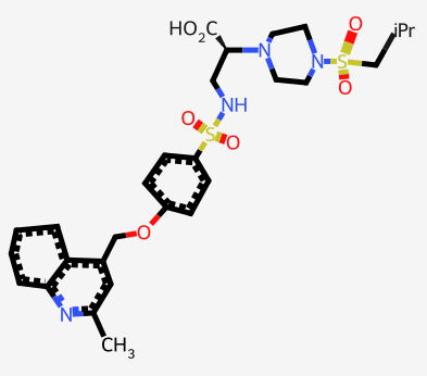 Cc1cc(COc2ccc(S(=O)(=O)NC[C@@H](C(=O)O)N3CCN(S(=O)(=O)CC(C)C)CC3)cc2)c2ccccc2n1